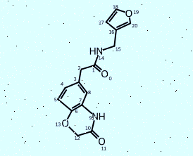 O=C(Cc1ccc2c(c1)NC(=O)CO2)NCc1ccoc1